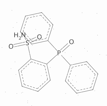 NS(=O)(=O)c1ccccc1P(=O)(c1ccccc1)c1ccccc1